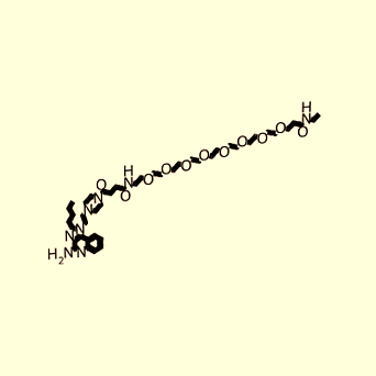 CCCCc1nc2c(N)nc3ccccc3c2n1CCN1CCN(C(=O)CCC(=O)NCCOCCOCCOCCOCCOCCOCCOCCOCCC(=O)NCC)CC1